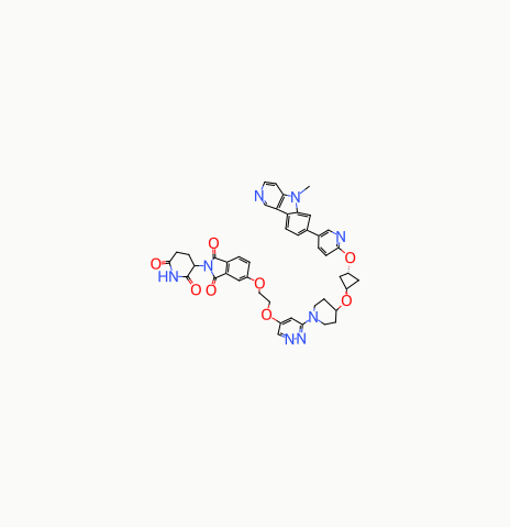 Cn1c2ccncc2c2ccc(-c3ccc(O[C@H]4C[C@H](OC5CCN(c6cc(OCCOc7ccc8c(c7)C(=O)N(C7CCC(=O)NC7=O)C8=O)cnn6)CC5)C4)nc3)cc21